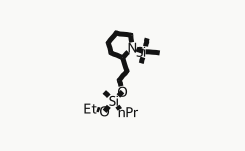 CCC[Si](C)(OCC)OCCC1CCCCN1[Si](C)(C)C